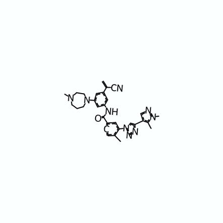 C=C(C#N)c1cc(NC(=O)c2ccc(C)c(-n3cc(-c4cnn(C)c4C)nn3)c2)cc(N2CCCN(C)CC2)c1